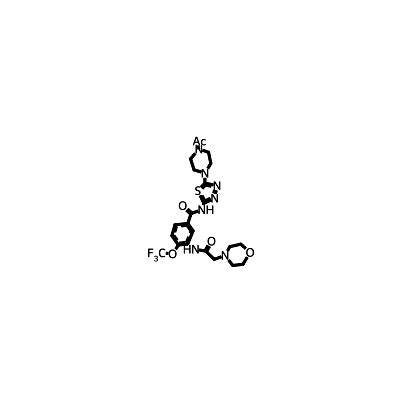 CC(=O)N1CCN(c2nnc(NC(=O)c3ccc(OC(F)(F)F)c(NC(=O)CN4CCOCC4)c3)s2)CC1